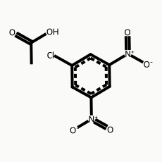 CC(=O)O.O=[N+]([O-])c1cc(Cl)cc([N+](=O)[O-])c1